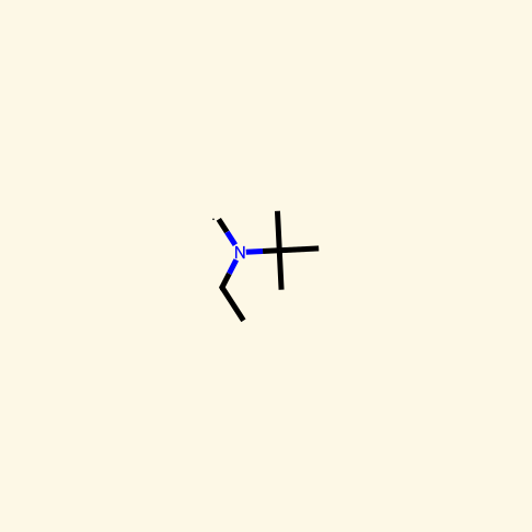 [CH2]N(CC)C(C)(C)C